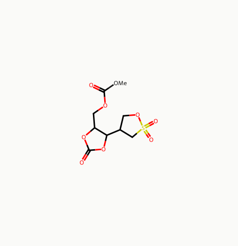 COC(=O)OCC1OC(=O)OC1C1COS(=O)(=O)C1